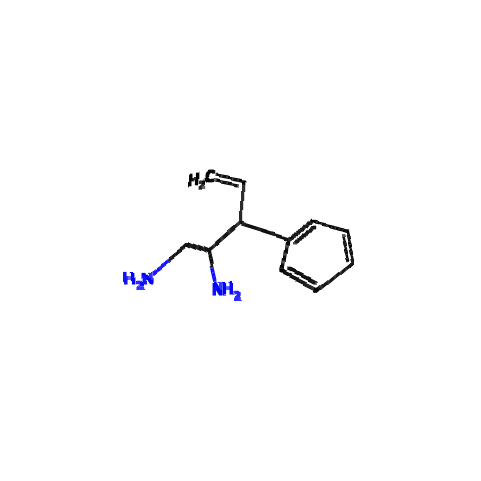 C=CC(c1ccccc1)C(N)CN